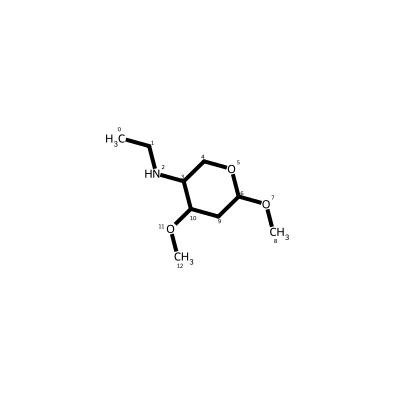 CCNC1COC(OC)CC1OC